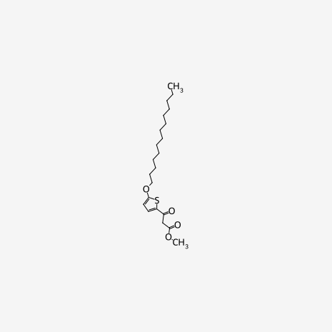 CCCCCCCCCCCCCCOc1ccc(C(=O)CC(=O)OC)s1